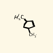 [CH2]C1C=CC(C)C1